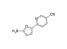 Bc1ccc(-c2ccc(C#N)cn2)o1